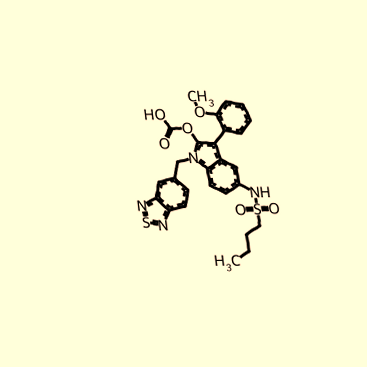 CCCCS(=O)(=O)Nc1ccc2c(c1)c(-c1ccccc1OC)c(OC(=O)O)n2Cc1ccc2nsnc2c1